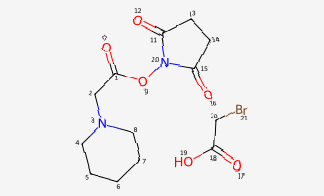 O=C(CN1CCCCC1)ON1C(=O)CCC1=O.O=C(O)CBr